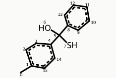 Cc1ccc(C(O)(S)c2ccccc2)cc1